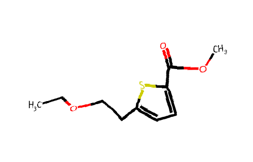 CCOCCc1ccc(C(=O)OC)s1